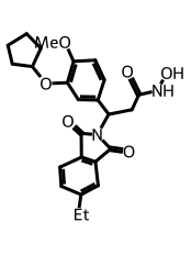 CCc1ccc2c(c1)C(=O)N(C(CC(=O)NO)c1ccc(OC)c(OC3CCCC3)c1)C2=O